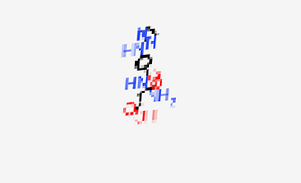 NC(=O)C(CCC(=O)O)NC(=O)c1ccc(Nc2ncccn2)cc1